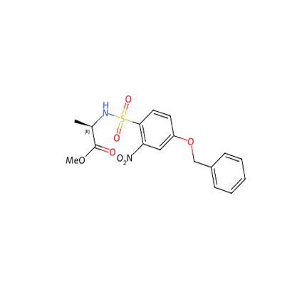 COC(=O)[C@@H](C)NS(=O)(=O)c1ccc(OCc2ccccc2)cc1[N+](=O)[O-]